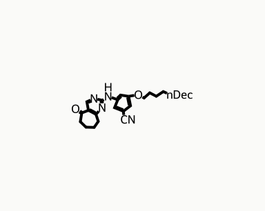 CCCCCCCCCCCCCCOc1cc(C#N)cc(Nc2ncc3c(n2)CCCCC3=O)c1